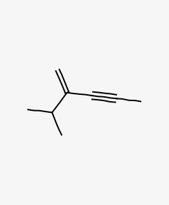 C=C(C#CC)C(C)C